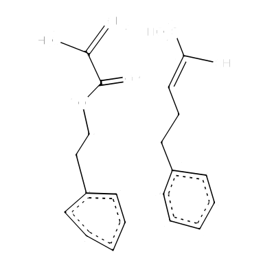 C=C(C)C(=O)OCCc1ccccc1.CC(=CCCc1ccccc1)C(=O)O